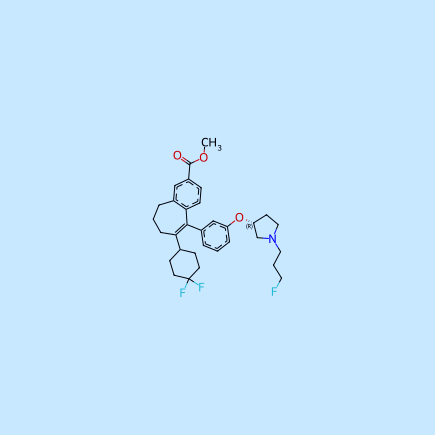 COC(=O)c1ccc2c(c1)CCCC(C1CCC(F)(F)CC1)=C2c1cccc(O[C@@H]2CCN(CCCF)C2)c1